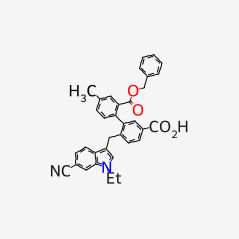 CCn1cc(Cc2ccc(C(=O)O)cc2-c2ccc(C)cc2C(=O)OCc2ccccc2)c2ccc(C#N)cc21